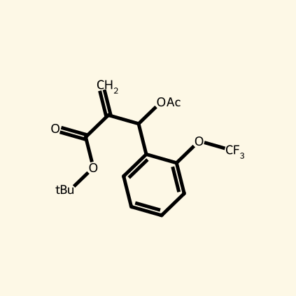 C=C(C(=O)OC(C)(C)C)C(OC(C)=O)c1ccccc1OC(F)(F)F